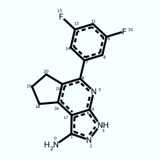 Nc1n[nH]c2nc(-c3cc(F)cc(F)c3)c3c(c12)CCC3